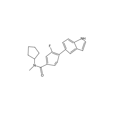 CN(C(=O)c1ccc(-c2ccc3[nH]ccc3c2)c(F)c1)C1CCCC1